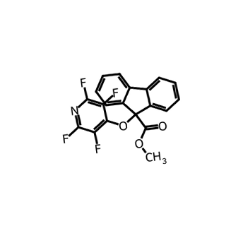 COC(=O)C1(Oc2c(F)c(F)nc(F)c2F)c2ccccc2-c2ccccc21